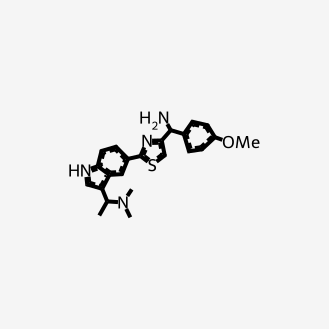 COc1ccc(C(N)c2csc(-c3ccc4[nH]cc(C(C)N(C)C)c4c3)n2)cc1